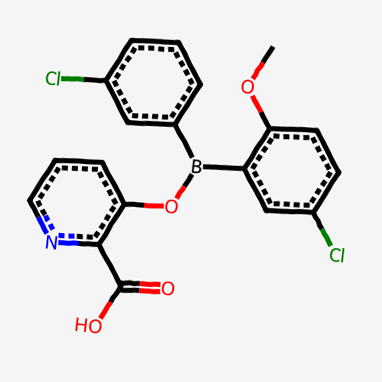 COc1ccc(Cl)cc1B(Oc1cccnc1C(=O)O)c1cccc(Cl)c1